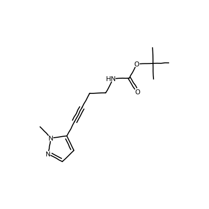 Cn1nccc1C#CCCNC(=O)OC(C)(C)C